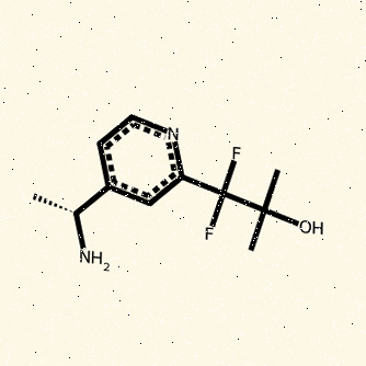 C[C@@H](N)c1ccnc(C(F)(F)C(C)(C)O)c1